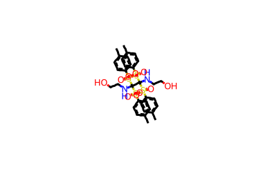 Cc1ccc(S(=O)(=O)C(NCCO)(C(NCCO)(S(=O)(=O)c2ccc(C)cc2)S(=O)(=O)c2ccc(C)cc2)S(=O)(=O)c2ccc(C)cc2)cc1